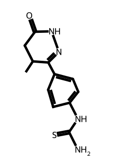 CC1CC(=O)NN=C1c1ccc(NC(N)=S)cc1